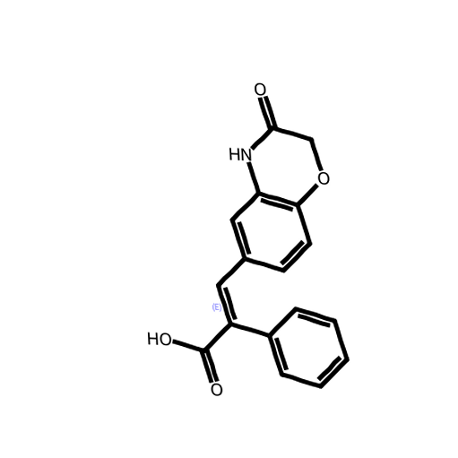 O=C1COc2ccc(/C=C(/C(=O)O)c3ccccc3)cc2N1